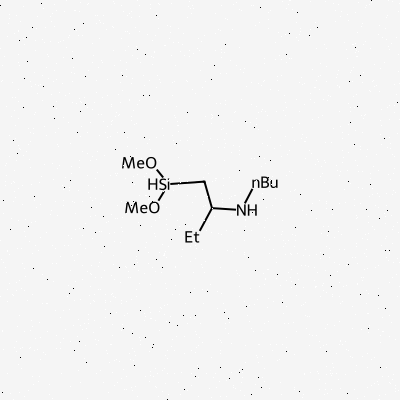 CCCCNC(CC)C[SiH](OC)OC